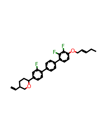 C=CC1CCC(c2ccc(-c3ccc(-c4ccc(OC/C=C/CC)c(F)c4F)cc3)c(F)c2)OC1